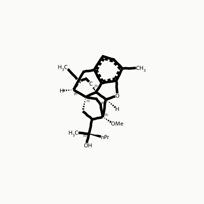 CCC[C@](C)(O)C1C[C@@]23CC[C@@]1(OC)[C@@H]1Oc4c(C)ccc5c4[C@@]12CCN(C)[C@@H]3C5